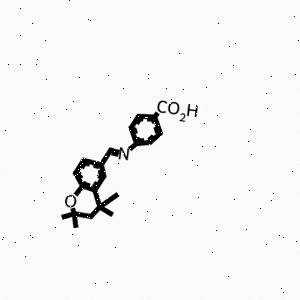 CC1(C)CC(C)(C)c2cc(C=Nc3ccc(C(=O)O)cc3)ccc2O1